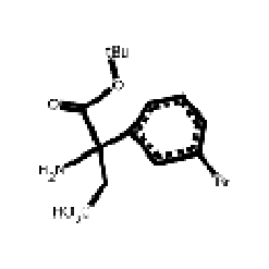 CC(C)(C)OC(=O)C(N)(CC(=O)O)c1cccc(Br)c1